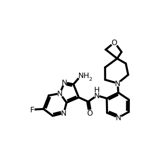 Nc1nn2cc(F)cnc2c1C(=O)Nc1cnccc1N1CCC2(CC1)COC2